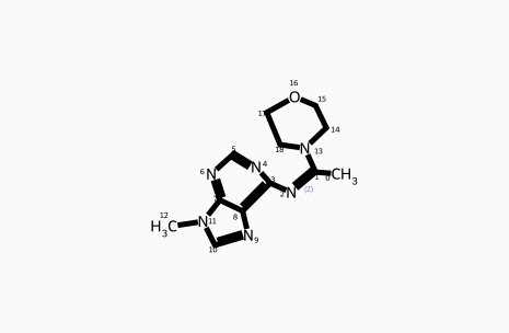 C/C(=N/c1ncnc2c1ncn2C)N1CCOCC1